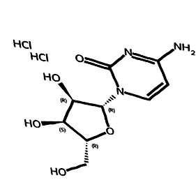 Cl.Cl.Nc1ccn([C@@H]2O[C@H](CO)[C@@H](O)[C@H]2O)c(=O)n1